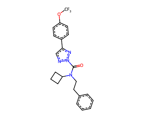 O=C(N(CCc1ccccc1)C1CCC1)n1ncc(-c2ccc(OC(F)(F)F)cc2)n1